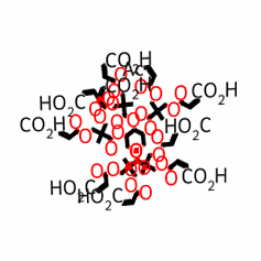 CC(=O)/C=C\C(=O)OCC(C)(COC(=O)/C=C\C(=O)O)C(=O)OC(COC(=O)C(C)(COC(=O)/C=C\C(=O)O)COC(=O)/C=C\C(=O)O)C(OC(=O)C(C)(COC(=O)/C=C\C(=O)O)COC(=O)/C=C\C(=O)O)C(COC(=O)C(C)(COC(=O)/C=C\C(=O)O)COC(=O)/C=C\C(=O)O)OC(=O)C(C)(COC(=O)/C=C\C(=O)O)COC(=O)/C=C\C(=O)O